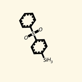 O=S(=O)(c1ccccc1)c1ccc([SiH3])cc1